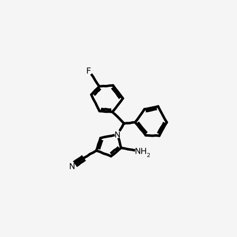 N#Cc1cc(N)n(C(c2ccccc2)c2ccc(F)cc2)c1